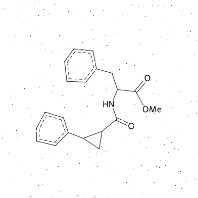 COC(=O)C(Cc1ccccc1)NC(=O)C1CC1c1ccccc1